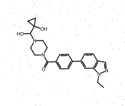 CCn1ncc2ccc(-c3ccc(C(=O)N4CCN(C(O)C5(O)CC5)CC4)cc3)cc21